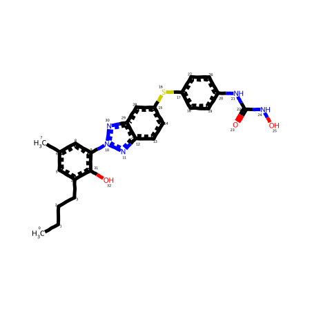 CCCCc1cc(C)cc(-n2nc3ccc(Sc4ccc(NC(=O)NO)cc4)cc3n2)c1O